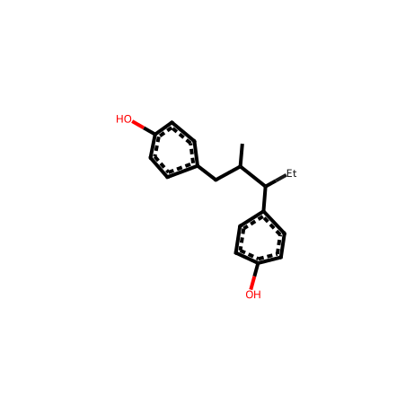 CCC(c1ccc(O)cc1)C(C)Cc1ccc(O)cc1